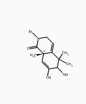 CCN1CC=C2C(C)(C)C(O)C(C#N)=C[C@]2(C)C1=O